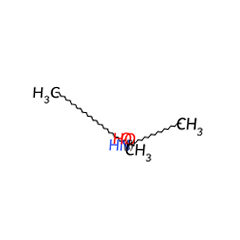 CCCCCCCCCCCCCCCCCCCCCCCCCC(=O)N[C@@H](C)[C@H](O)CCCCCCCCCCCCCCC